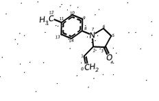 C=CC1C(=O)CCN1c1ccc(C)cc1